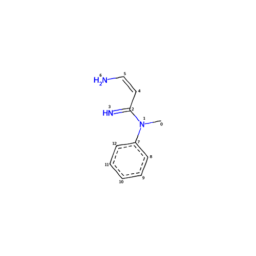 CN(C(=N)/C=C\N)c1ccccc1